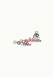 CNC(CC(CC(C)C)Oc1cc(Cl)ccc1Cl)OC(=O)/C=C/C(=O)OC(CC(CC(C)C)Oc1cc(Cl)ccc1Cl)NC